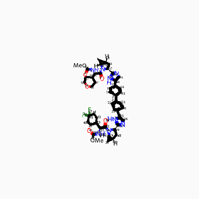 COC(=O)N[C@H](C(=O)N1[C@@H]2C[C@@H]2C[C@H]1c1ncc(-c2ccc(-c3ccc(-c4cnc([C@@H]5C[C@H]6C[C@H]6N5C(=O)[C@@H](NC(=O)OC)C5CCC(F)(F)CC5)[nH]4)cc3)cc2)[nH]1)C1CCOCC1